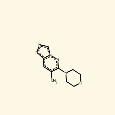 Cc1cc2nncn2nc1N1CCOCC1